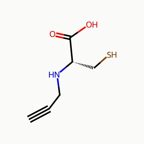 C#CCN[C@@H](CS)C(=O)O